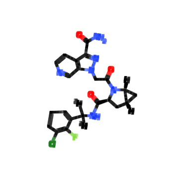 [2H]C([2H])(NC(=O)[C@@H]1C[C@H]2C[C@H]2N1C(=O)Cn1nc(C(N)=O)c2ccncc21)c1cccc(Cl)c1F